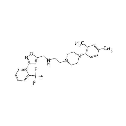 Cc1ccc(N2CCN(CCNCc3cc(-c4ccccc4C(F)(F)F)no3)CC2)c(C)c1